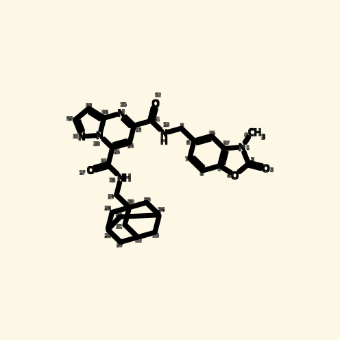 Cn1c(=O)oc2ccc(CNC(=O)c3cc(C(=O)NCC45CC6CC(CC(C6)C4)C5)n4nccc4n3)cc21